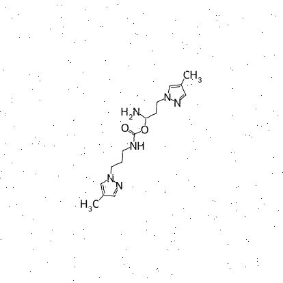 Cc1cnn(CCCNC(=O)OC(N)CCn2cc(C)cn2)c1